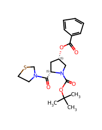 CC(C)(C)OC(=O)N1C[C@@H](OC(=O)c2ccccc2)C[C@H]1C(=O)N1CCSC1